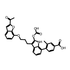 CC(=O)c1cc2cccc(OCCCc3c(OC(=O)O)[nH]c4c(-c5ccc(C(=O)O)cc5C)cccc34)c2o1